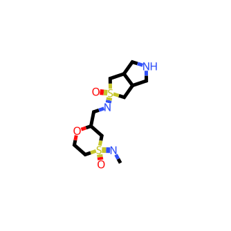 CN=S1(=O)CCOC(CN=S2(=O)CC3CNCC3C2)C1